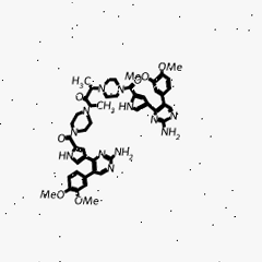 COc1ccc(-c2cnc(N)nc2-c2c[nH]c(C(=O)N3CCN(C(C)C(=O)C(C)N4CCN(C(=O)c5cc(-c6nc(N)ncc6-c6ccc(OC)c(OC)c6)c[nH]5)CC4)CC3)c2)cc1OC